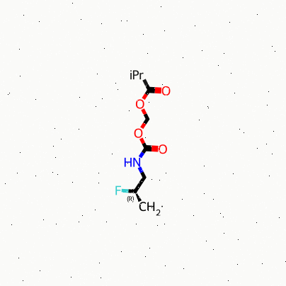 [CH2][C@@H](F)CNC(=O)OCOC(=O)C(C)C